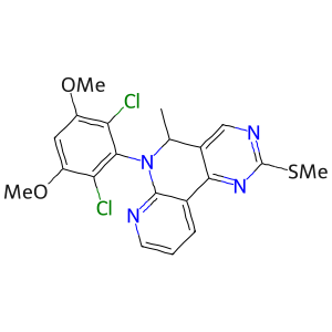 COc1cc(OC)c(Cl)c(N2c3ncccc3-c3nc(SC)ncc3C2C)c1Cl